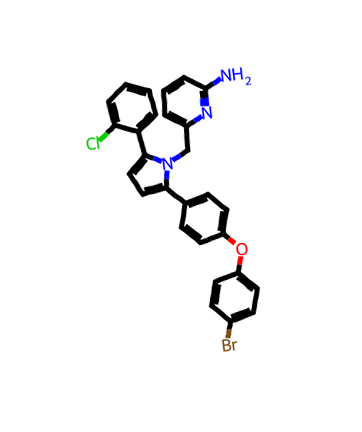 Nc1cccc(Cn2c(-c3ccc(Oc4ccc(Br)cc4)cc3)ccc2-c2ccccc2Cl)n1